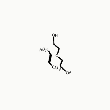 O=C(O)C=CC(=O)O.OCCOCCO